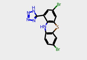 Brc1ccc2c(c1)Sc1cc(Br)cc(-c3nnn[nH]3)c1N2